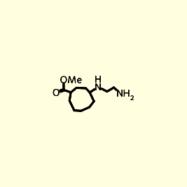 COC(=O)C1CCCCCC(NCCN)CC1